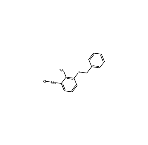 Cc1c(OCc2ccccc2)ccc[c]1[Mg][Cl]